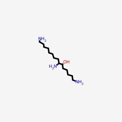 NCCCCCCCCC(N)C(O)CCCCCN